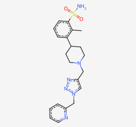 Cc1c(C2CCN(Cc3cn(Cc4ccccn4)nn3)CC2)cccc1S(N)(=O)=O